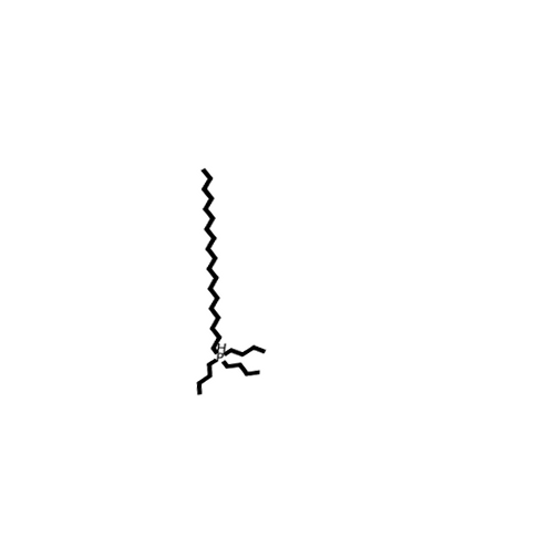 CCCCCCCCCCCCCCCCCCC[PH](CCCC)(CCCC)CCCC